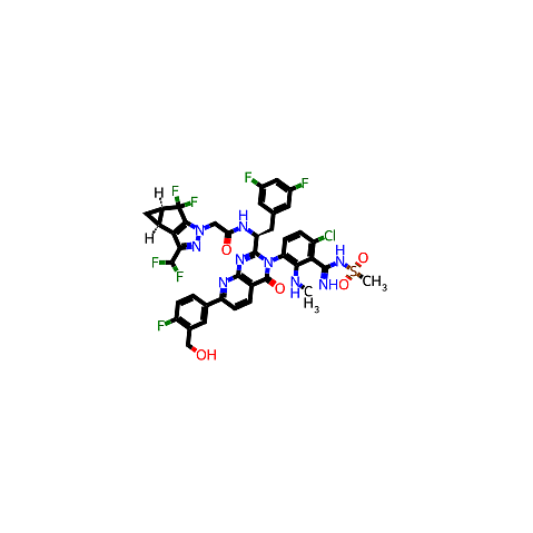 CNc1c(-n2c([C@H](Cc3cc(F)cc(F)c3)NC(=O)Cn3nc(C(F)F)c4c3C(F)(F)[C@@H]3C[C@H]43)nc3nc(-c4ccc(F)c(CO)c4)ccc3c2=O)ccc(Cl)c1C(=N)NS(C)(=O)=O